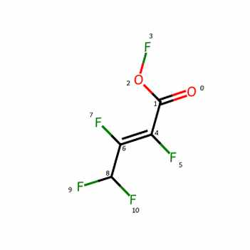 O=C(OF)C(F)=C(F)C(F)F